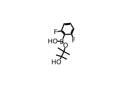 CC(C)(O)C(C)(C)OB(O)c1c(F)cccc1F